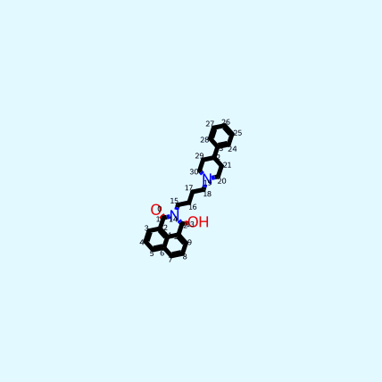 O=C1c2cccc3cccc(c23)C(O)N1CCCCN1CCC(c2ccccc2)CC1